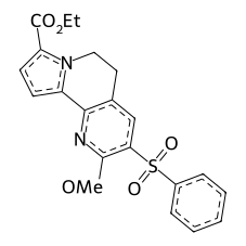 CCOC(=O)c1ccc2n1CCc1cc(S(=O)(=O)c3ccccc3)c(OC)nc1-2